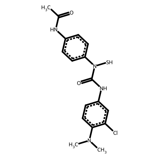 CC(=O)Nc1ccc(N(S)C(=O)Nc2ccc(N(C)C)c(Cl)c2)cc1